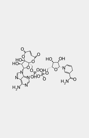 NC(=O)C1=CN([C@@H]2O[C@H](COP(=O)(O)OP(=O)(O)OC[C@@]34OC(=O)/C=C/C(=O)O[C@@]3(O)[C@H](O)[C@H](n3cnc5c(N)ncnc53)O4)[C@@H](O)[C@H]2O)C=CC1